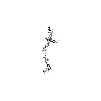 Cc1nc(SCC(=O)O)c2cc(C#CCNC(=O)CCCCCNCC(=O)N3CCN(CC[C@H](NC(=O)C4(N)CCN(c5ncnc6[nH]ccc56)CC4)c4ccc(Cl)cc4)CC3)sc2n1